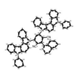 N#Cc1c(-n2c3ccccc3c3c4c5ccccc5n(-c5ccccc5)c4ccc32)cc(-n2c3ccccc3c3c4c5ccccc5n(-c5ccccc5)c4ccc32)c(C#N)c1-c1nccc2ccccc12